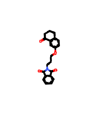 O=C1CCCc2ccc(OCCCN3C(=O)c4ccccc4C3=O)cc21